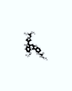 CNC(=O)Nc1ccc2c(c1)C(=O)C(=Cc1c(-c3cnn(CC(C)C)c3)[nH]c3ccc(OC)cc13)O2